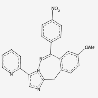 COc1ccc2c(c1)C(c1ccc([N+](=O)[O-])cc1)=Nn1c(-c3ccccn3)cnc1C2